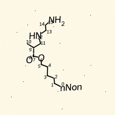 CCCCCCCCCCCCCCOC(=O)C(C)CNCCN